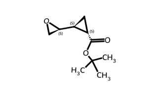 CC(C)(C)OC(=O)[C@H]1C[C@@H]1[C@H]1CO1